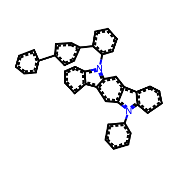 c1ccc(-c2ccc(-c3ccccc3-n3c4ccccc4c4cc5c(cc43)c3ccccc3n5-c3ccccc3)cc2)cc1